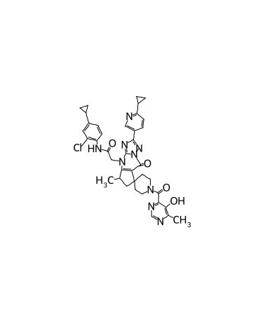 Cc1ncnc(C(=O)N2CCC3(CC2)CC(C)c2c3c(=O)n3nc(-c4ccc(C5CC5)nc4)nc3n2CC(=O)Nc2ccc(C3CC3)cc2Cl)c1O